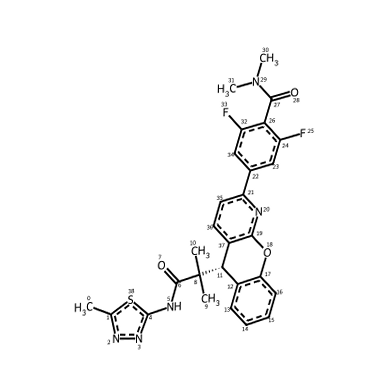 Cc1nnc(NC(=O)C(C)(C)[C@H]2c3ccccc3Oc3nc(-c4cc(F)c(C(=O)N(C)C)c(F)c4)ccc32)s1